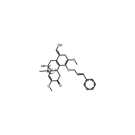 COC1=C[C@H]2[C@H]3CC4=C(C(OCC=Cc5ccccc5)=C(OC)CC4=CO)[C@@]2(CCN3C)CC1=O